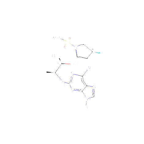 CC[C@H](Nc1nc(N[C@@H]2CN(S(=O)(=O)NC)C[C@H]2F)c2ncn(CC)c2n1)[C@@H](C)O